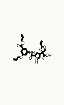 C=CCOC(=O)c1cc(NC(=O)C2CC(C(C=O)(OCC=C)C(O)=S)CN2)cc(OCC=C)c1